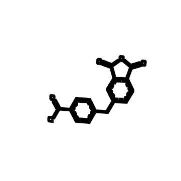 O=C(Cl)c1ccc(Cc2ccc3c(c2)C(=O)OC3=O)cc1